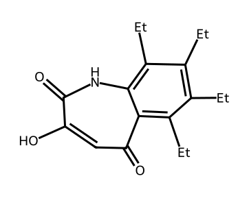 CCc1c(CC)c(CC)c2c(=O)cc(O)c(=O)[nH]c2c1CC